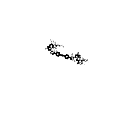 COC(=O)N[C@H](C(=O)N1[C@H](c2ncc(-c3ccc(C#Cc4ccc(-c5cnc([C@@H]6C[C@H]7C[C@]78CC(C)[C@H](NC(=O)OC)C(=O)N68)[nH]5)cc4)cc3)[nH]2)C[C@H]2C[C@]21C)C(C)I